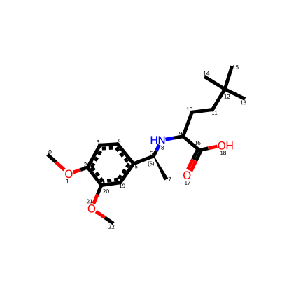 COc1ccc([C@H](C)NC(CCC(C)(C)C)C(=O)O)cc1OC